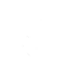 c1cnc2ncnc(Cc3ccc4c(c3)CCC4)c2c1